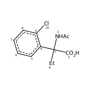 CCC(NC(C)=O)(C(=O)O)c1ccccc1Cl